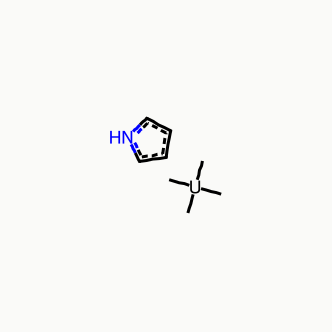 [CH3][U]([CH3])([CH3])[CH3].c1cc[nH]c1